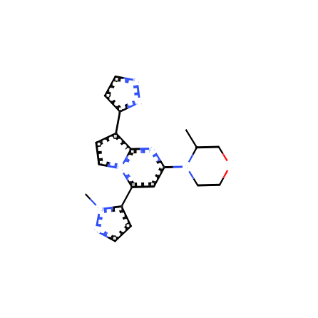 CC1COCCN1c1cc(-c2ccnn2C)n2ccc(-c3ccn[nH]3)c2n1